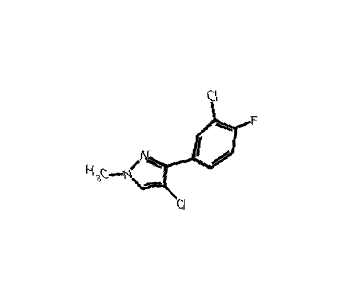 Cn1cc(Cl)c(-c2ccc(F)c(Cl)c2)n1